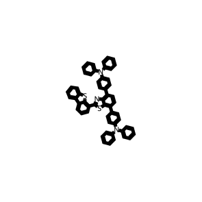 c1ccc(N(c2ccccc2)c2ccc(-c3ccc(-c4ccc(N(c5ccccc5)c5ccccc5)cc4)c4sc(-c5cccc6c5sc5ccccc56)nc34)cc2)cc1